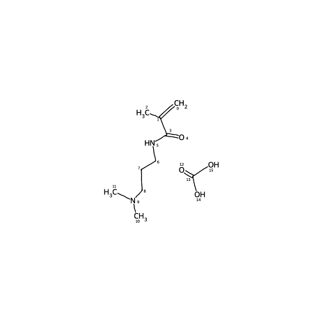 C=C(C)C(=O)NCCCN(C)C.O=C(O)O